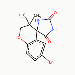 CC1(C)COc2ccc(Br)cc2C12NC(=O)NC2=O